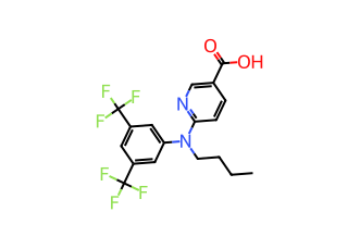 CCCCN(c1cc(C(F)(F)F)cc(C(F)(F)F)c1)c1ccc(C(=O)O)cn1